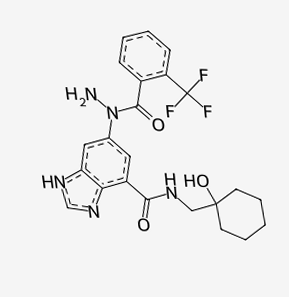 NN(C(=O)c1ccccc1C(F)(F)F)c1cc(C(=O)NCC2(O)CCCCC2)c2nc[nH]c2c1